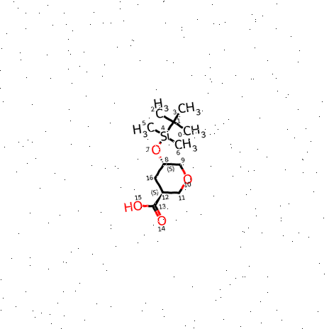 CC(C)(C)[Si](C)(C)O[C@@H]1COC[C@@H](C(=O)O)C1